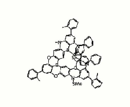 CSN1c2cc3c(cc2B2c4sc5ccccc5c4N(c4ccccc4)c4cc(-c5ccccc5C)cc1c42)B1c2cc4c(cc2Oc2cc(-c5ccccc5C)cc(c21)O3)Nc1cc(-c2ccccc2C)cc2c1B4c1sc3ccccc3c1N2c1ccccc1